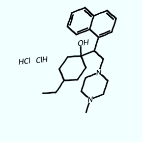 CCC1CCC(O)(C(CN2CCN(C)CC2)c2cccc3ccccc23)CC1.Cl.Cl